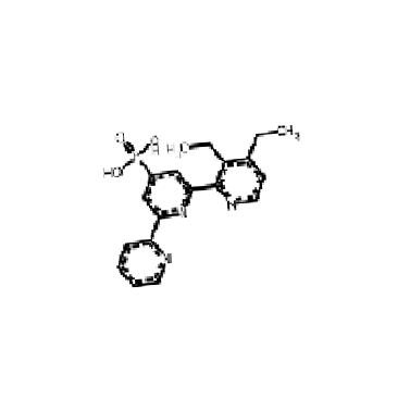 CCc1ccnc(-c2cc(P(=O)(O)O)cc(-c3ccccn3)n2)c1CC